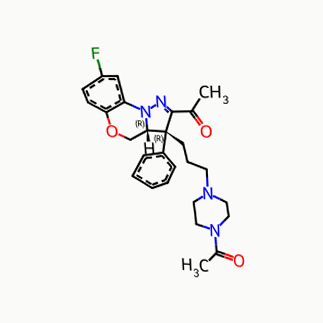 CC(=O)C1=NN2c3cc(F)ccc3OC[C@H]2[C@@]1(CCCN1CCN(C(C)=O)CC1)c1ccccc1